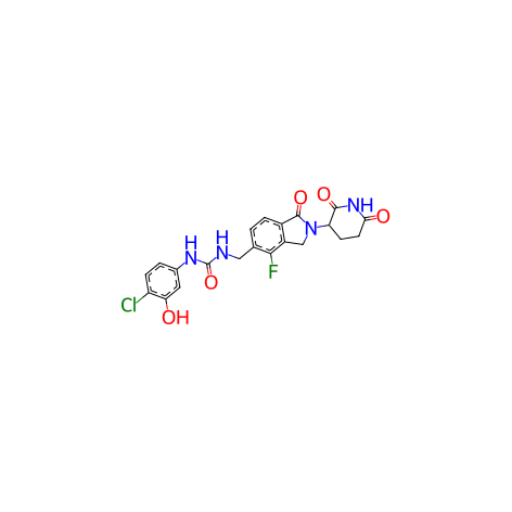 O=C1CCC(N2Cc3c(ccc(CNC(=O)Nc4ccc(Cl)c(O)c4)c3F)C2=O)C(=O)N1